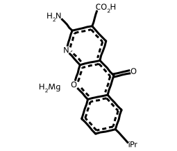 CC(C)c1ccc2oc3nc(N)c(C(=O)O)cc3c(=O)c2c1.[MgH2]